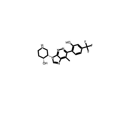 Cc1c(-c2ccc(C(F)(F)F)cc2O)nnc2c1ncn2[C@H]1CNCC[C@H]1O